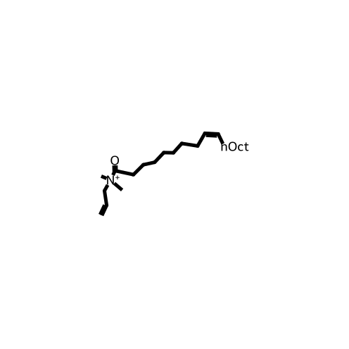 C=CC[N+](C)(C)C(=O)CCCCCCC/C=C\CCCCCCCC